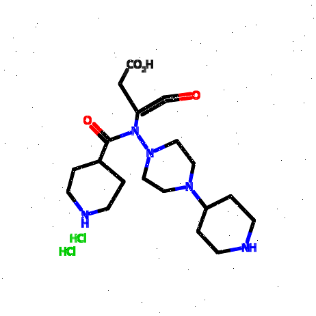 Cl.Cl.O=C=C(CC(=O)O)N(C(=O)C1CCNCC1)N1CCN(C2CCNCC2)CC1